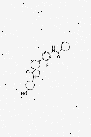 O=C(Nc1ccc(N2CCCC3(CCN([C@H]4CC[C@H](O)CC4)C3=O)C2)c(F)c1)C1CCCCC1